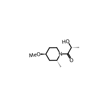 CO[C@H]1CCN(C(=O)[C@@H](C)O)[C@H](C)C1